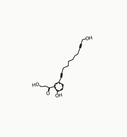 O=C(CCO)c1cc(C#CCCCCCCC#CCO)ccc1O